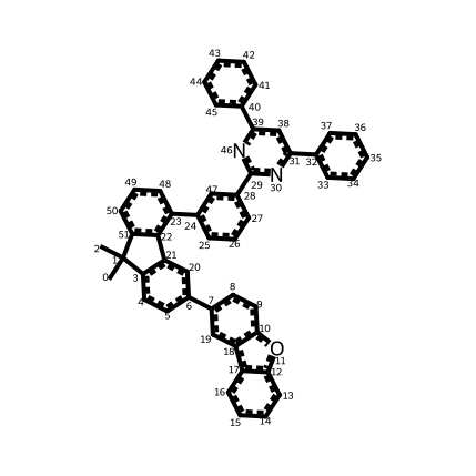 CC1(C)c2ccc(-c3ccc4oc5ccccc5c4c3)cc2-c2c(-c3cccc(-c4nc(-c5ccccc5)cc(-c5ccccc5)n4)c3)cccc21